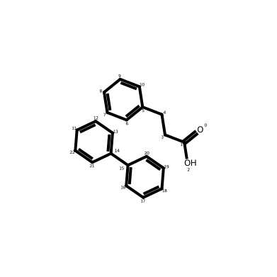 O=C(O)CCc1ccccc1.c1ccc(-c2ccccc2)cc1